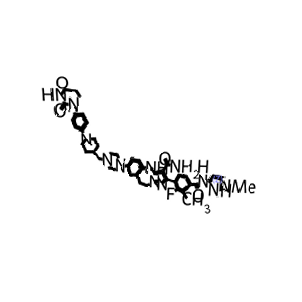 CN/C=C\C(=N)NC(=O)c1ccc(-c2nn3c(c2C(N)=O)Nc2ccc(N4CCN(CC5CCN(c6ccc(N7CCC(=O)NC7=O)cc6)CC5)CC4)cc2CC3)c(F)c1C